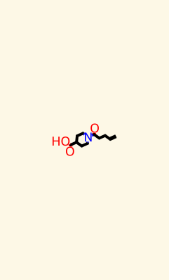 C=CCCC(=O)N1CCC(C(=O)O)CC1